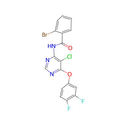 O=C(Nc1ncnc(Oc2ccc(F)c(F)c2)c1Cl)c1ccccc1Br